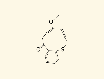 COC1=C/CC(=O)c2ccccc2SC/C=C\1